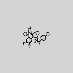 COc1ccc([C@@H](C)N(C)[C@@H]2COCc3[nH]c(=O)c4cc(F)c(F)cc4c32)cc1